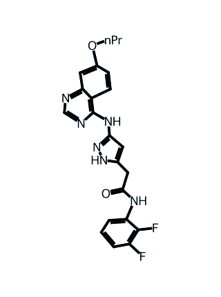 C[CH]COc1ccc2c(Nc3cc(CC(=O)Nc4cccc(F)c4F)[nH]n3)ncnc2c1